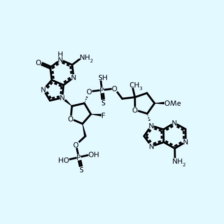 CO[C@@H]1CC(C)(COP(=S)(S)O[C@@H]2[C@@H](F)[C@@H](COP(O)(O)=S)O[C@H]2n2cnc3c(=O)[nH]c(N)nc32)O[C@H]1n1cnc2c(N)ncnc21